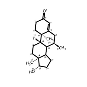 C[C@@H]1CC2=CC(=O)CC[C@]2(C)[C@H]2CC[C@@]3(C)C(CC[C@@H]3O)C12